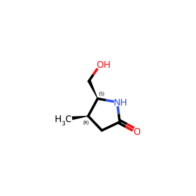 C[C@@H]1CC(=O)N[C@@H]1CO